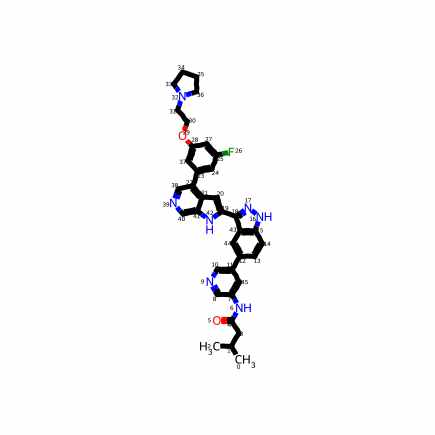 CC(C)CC(=O)Nc1cncc(-c2ccc3[nH]nc(-c4cc5c(-c6cc(F)cc(OCCN7CCCC7)c6)cncc5[nH]4)c3c2)c1